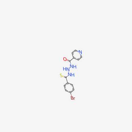 O=C(NNNC(=S)c1ccc(Br)cc1)c1ccncc1